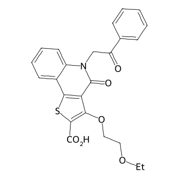 CCOCCOc1c(C(=O)O)sc2c1c(=O)n(CC(=O)c1ccccc1)c1ccccc21